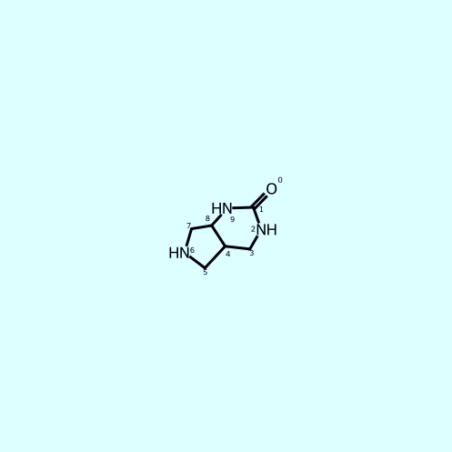 O=C1NCC2CNCC2N1